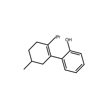 CC1CCC(C(C)C)=C(c2ccccc2O)C1